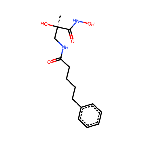 C[C@@](O)(CNC(=O)CCCCc1ccccc1)C(=O)NO